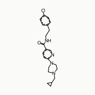 O=C(NCCc1ccc(Cl)cc1)c1ccc(N2CCN(CC3CC3)CC2)nc1